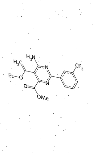 C=C(OCC)c1c(N)nc(-c2cccc(C(F)(F)F)c2)nc1C(=O)OC